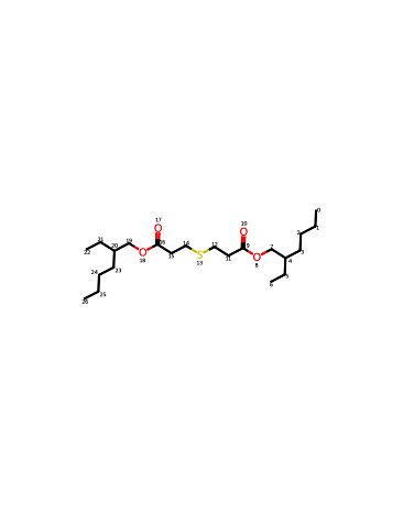 CCCCC(CC)COC(=O)CCSCCC(=O)OCC(CC)CCCC